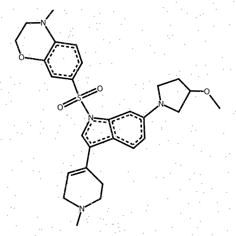 COC1CCN(c2ccc3c(C4=CCN(C)CC4)cn(S(=O)(=O)c4ccc5c(c4)OCCN5C)c3c2)C1